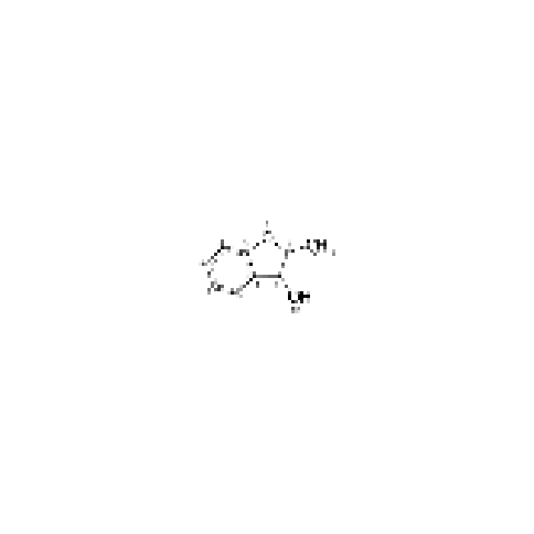 CC1Oc2ccccc2C1O